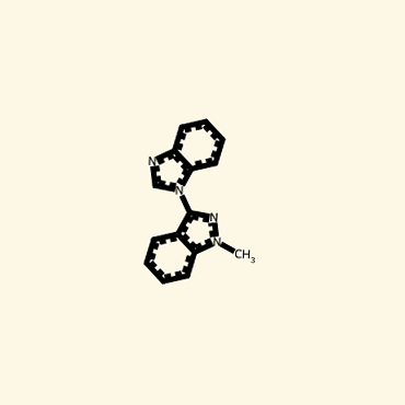 Cn1nc(-n2cnc3ccccc32)c2ccccc21